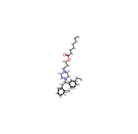 CCCCCCCC(=O)OCCCN1CCN(C2Cc3ccccc3Sc3ccc(CC)cc32)CC1